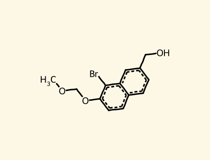 COCOc1ccc2ccc(CO)cc2c1Br